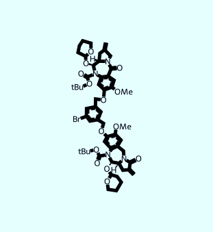 C=C1C[C@H]2[C@H](OC3CCCCO3)N(C(=O)OC(C)(C)C)c3cc(OCc4cc(Br)cc(COc5cc6c(cc5OC)CN5C(=O)C(=C)C[C@H]5[C@H](OC5CCCCO5)N6C(=O)OC(C)(C)C)c4)c(OC)cc3C(=O)N2C1